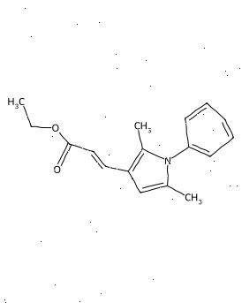 CCOC(=O)C=Cc1cc(C)n(-c2ccccc2)c1C